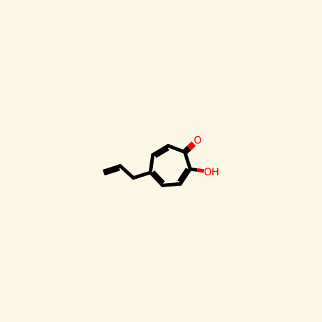 C=CCc1ccc(O)c(=O)cc1